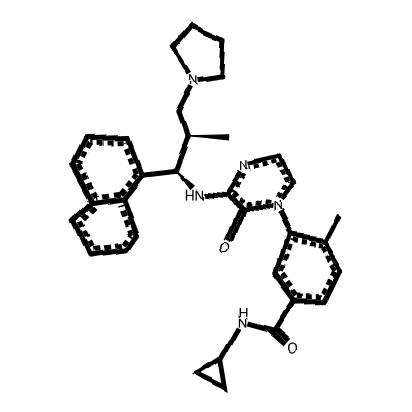 Cc1ccc(C(=O)NC2CC2)cc1-n1ccnc(N[C@@H](c2cccc3ccccc23)[C@H](C)CN2CCCC2)c1=O